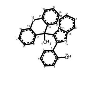 CC1(c2c(-c3ccccc3O)nc3ccccn23)c2ccccc2Oc2ccccc21